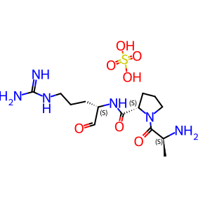 C[C@H](N)C(=O)N1CCC[C@H]1C(=O)N[C@H](C=O)CCCNC(=N)N.O=S(=O)(O)O